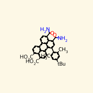 Cc1cc(C(C)(C)C)cc(C)c1-c1cc(C(N)=O)c2c(C(N)=O)ccc3c4ccc(C(=O)O)c5c(C(=O)O)ccc(c1c23)c54